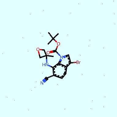 CC1(Nc2c(C#N)ccc3c(Br)cn(C(=O)OC(C)(C)C)c23)COC1